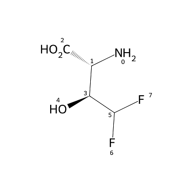 N[C@@H](C(=O)O)[C@H](O)C(F)F